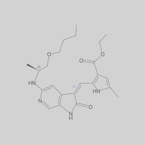 CCCCOC[C@H](C)Nc1cc2c(cn1)NC(=O)/C2=C\c1[nH]c(C)cc1C(=O)OCC